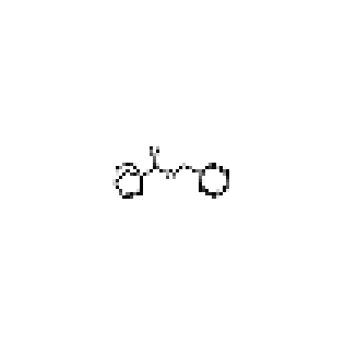 O=C(OCc1ccccc1)C12C=CC(CC1)C2